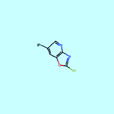 CC(C)c1cnc2nc(S)oc2c1